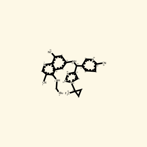 CC(C)(C)CNc1c(C#N)cnc2c(C#N)cc(NC(c3ccc(C#N)nc3)c3cn(C4(C(F)(F)F)CC4)nn3)cc12